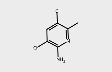 Cc1nc(N)c(Cl)cc1Cl